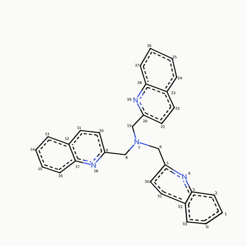 c1ccc2nc(CN(Cc3ccc4ccccc4n3)Cc3ccc4ccccc4n3)ccc2c1